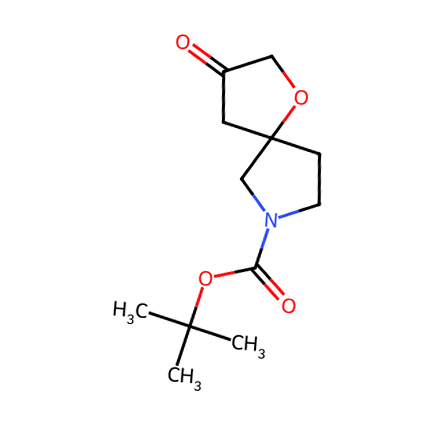 CC(C)(C)OC(=O)N1CCC2(CC(=O)CO2)C1